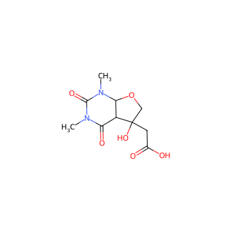 CN1C(=O)C2C(OCC2(O)CC(=O)O)N(C)C1=O